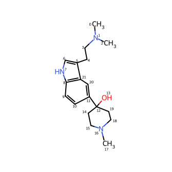 CN(C)CCc1c[nH]c2ccc(C3(O)CCN(C)CC3)cc12